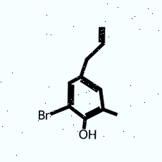 C=CCc1cc(C)c(O)c(Br)c1